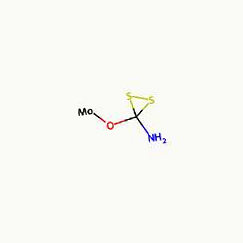 NC1([O][Mo])SS1